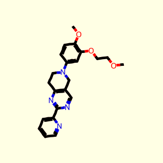 COCCOc1cc(N2CCc3nc(-c4ccccn4)ncc3C2)ccc1OC